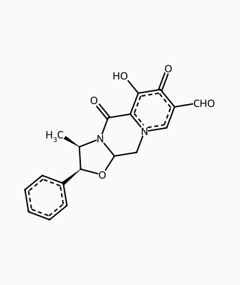 C[C@@H]1[C@H](c2ccccc2)OC2Cn3cc(C=O)c(=O)c(O)c3C(=O)N21